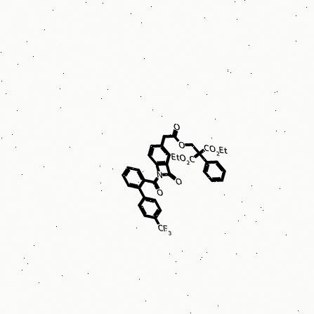 CCOC(=O)C(COC(=O)Cc1ccc2c(c1)C(=O)N2C(=O)c1ccccc1-c1ccc(C(F)(F)F)cc1)(C(=O)OCC)c1ccccc1